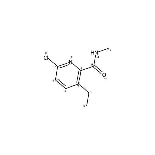 CCc1ccc(Cl)nc1C(=O)NC